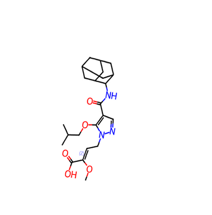 CO/C(=C\Cn1ncc(C(=O)NC2C3CC4CC(C3)CC2C4)c1OCC(C)C)C(=O)O